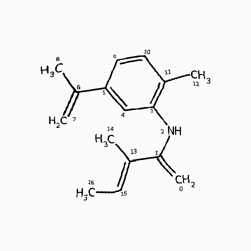 C=C(Nc1cc(C(=C)C)ccc1C)/C(C)=C/C